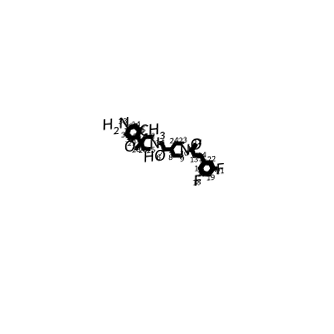 CC1CN(C[C@@H](O)C2CCN(C(=O)/C=C/c3cc(F)cc(F)c3)CC2)CCC12COc1cc(N)ccc12